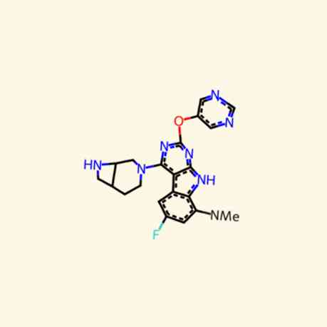 CNc1cc(F)cc2c1[nH]c1nc(Oc3cncnc3)nc(N3CCC4CNC4C3)c12